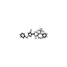 [2H]C([2H])([2H])N1C(=O)C(NC(=O)c2nn(Cc3ccccc3)cc2F)COc2cccnc21